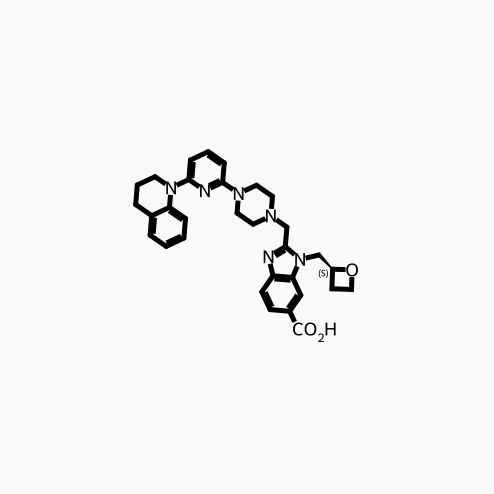 O=C(O)c1ccc2nc(CN3CCN(c4cccc(N5CCCc6ccccc65)n4)CC3)n(C[C@@H]3CCO3)c2c1